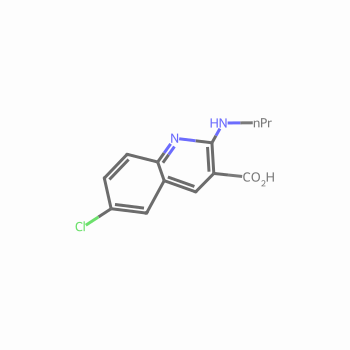 CCCNc1nc2ccc(Cl)cc2cc1C(=O)O